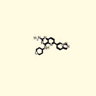 Nc1nc(NC2CCOCC2)c2nc(-c3ccc4cnnn4c3)ccc2n1